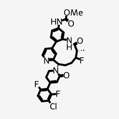 COC(=O)Nc1ccc2c(c1)NC(=O)[C@H](C)C(F)CC[C@H](N1CCC(c3c(F)ccc(Cl)c3F)=CC1=O)c1cc-2ccn1